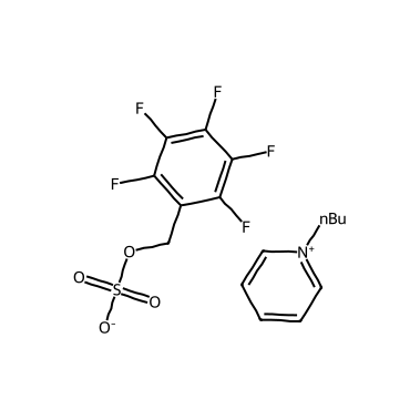 CCCC[n+]1ccccc1.O=S(=O)([O-])OCc1c(F)c(F)c(F)c(F)c1F